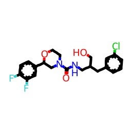 O=C(NCC(CO)Cc1cccc(Cl)c1)N1CCOC(c2ccc(F)c(F)c2)C1